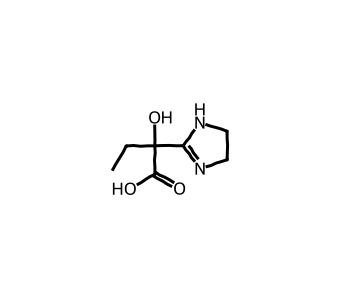 CCC(O)(C(=O)O)C1=NCCN1